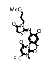 COCCCN1C(=O)CS/C1=N\c1cc(-n2c(=O)cc(C(F)(F)F)n(C)c2=O)c(F)cc1Cl